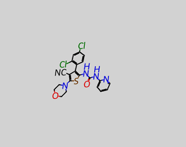 N#Cc1c(N2CCOCC2)sc(NC(=O)Nc2ccccn2)c1-c1ccc(Cl)cc1Cl